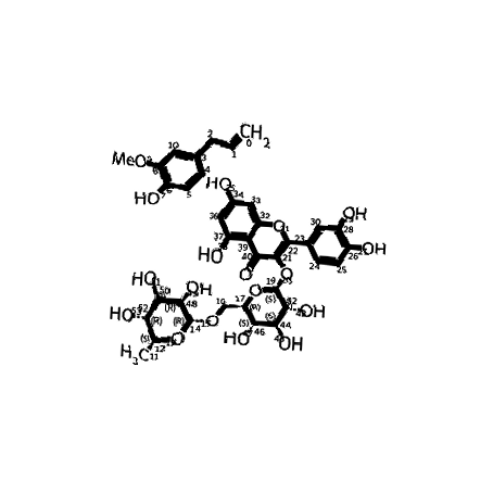 C=CCc1ccc(O)c(OC)c1.C[C@@H]1O[C@@H](OC[C@H]2O[C@@H](Oc3c(-c4ccc(O)c(O)c4)oc4cc(O)cc(O)c4c3=O)[C@H](O)[C@@H](O)[C@@H]2O)[C@H](O)[C@H](O)[C@H]1O